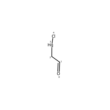 O=C[CH2][Hg][Cl]